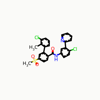 Cc1c(Cl)cccc1-c1cc(S(C)(=O)=O)ccc1C(=O)Nc1ccc(Cl)c(-c2ccccn2)c1